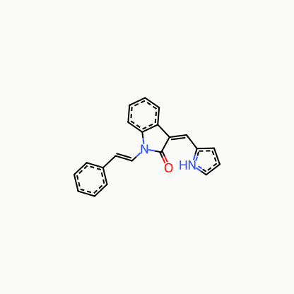 O=C1C(=Cc2ccc[nH]2)c2ccccc2N1C=Cc1ccccc1